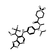 COC(c1c(Nc2ccc([C@@H](C(F)F)N(C)C(=O)C3CCS(=O)(=O)CC3)cc2)cnc2sc(C)nc12)C(F)(F)F